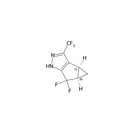 FC(F)(F)c1n[nH]c2c1[C@H]1C[C@H]1C2(F)F